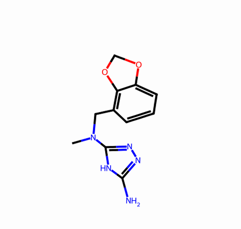 CN(Cc1cccc2c1OCO2)c1nnc(N)[nH]1